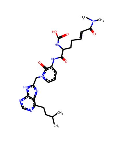 CC(C)CCc1ncnc2[nH]c(Cn3cccc(NC(=O)C(CC/C=C/C(=O)N(C)C)NC(=O)O)c3=O)nc12